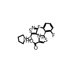 O=C(O)C1=CS[C@H](c2c(F)cccc2F)N1c1cnsc1ON1CCCC1